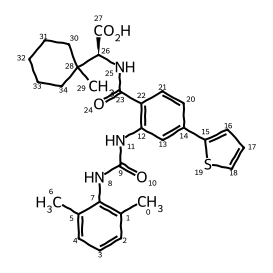 Cc1cccc(C)c1NC(=O)Nc1cc(-c2cccs2)ccc1C(=O)N[C@H](C(=O)O)C1(C)CCCCC1